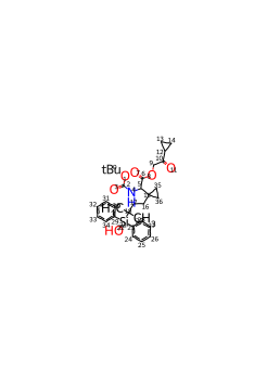 CC(C)(C)OC(=O)NC(C(=O)OCC(=O)C1CC1)C1(CCC(C)(C)[Si](O)(c2ccccc2)c2ccccc2)CC1